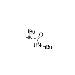 CCC(C)NC(=O)NC(C)CC